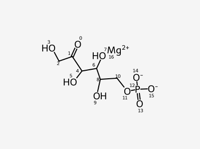 O=C(CO)C(O)C(O)C(O)COP(=O)([O-])[O-].[Mg+2]